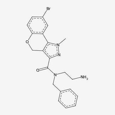 Cn1nc(C(=O)N(CCN)Cc2ccccc2)c2c1-c1cc(Br)ccc1OC2